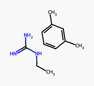 CCNC(=N)N.Cc1cccc(C)c1